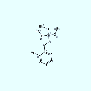 CCO[Si](CCc1ccccc1F)(OCC)OCC